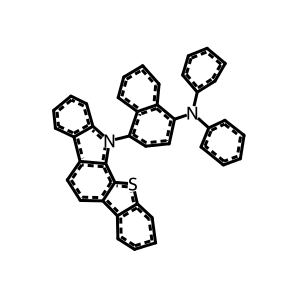 c1ccc(N(c2ccccc2)c2ccc(-n3c4ccccc4c4ccc5c6ccccc6sc5c43)c3ccccc23)cc1